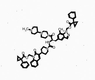 Cc1cc(C[C@@H](NC(=O)N2CCC(c3cc4ccccc4n(COC(=O)C4(c5ccccc5)CC4)c3=O)CC2)C(=O)N2CCN(C3CCN(C)CC3)CC2)cc2cnn(COC(=O)C3(c4ccccc4)CC3)c12